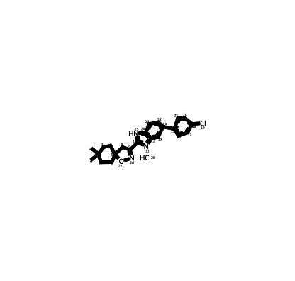 CC1(C)CCC2(CC1)CC(c1nc3cc(-c4ccc(Cl)cc4)ccc3[nH]1)=NO2.Cl